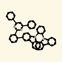 c1ccc(-c2cc(-c3ccccc3)nc(-c3ccccc3-c3ccc4c(c3)c3ccccc3n4-c3ccccc3-n3c4ccccc4c4ccccc43)n2)cc1